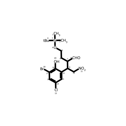 CC(C)(C)[Si](C)(C)OCCC(C=O)C(C[N+](=O)[O-])c1cc(Cl)cc(Br)c1O